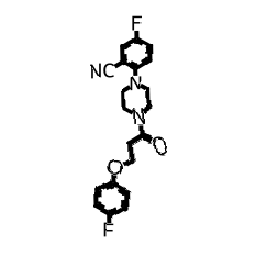 N#Cc1cc(F)ccc1N1CCN(C(=O)CCOc2ccc(F)cc2)CC1